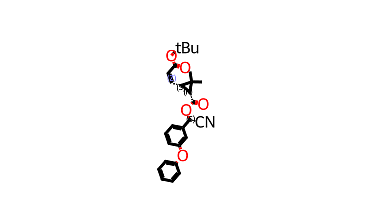 CC(C)(C)OC(=O)/C=C\[C@H]1[C@@H](C(=O)O[C@H](C#N)c2cccc(Oc3ccccc3)c2)C1(C)C